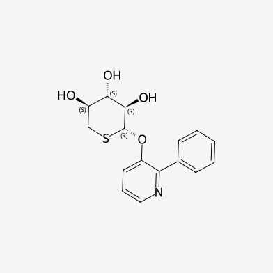 O[C@@H]1[C@@H](O)[C@H](Oc2cccnc2-c2ccccc2)SC[C@H]1O